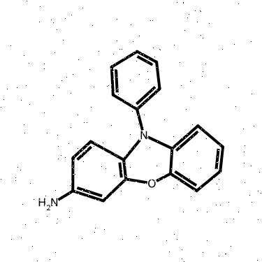 Nc1ccc2c(c1)Oc1ccccc1N2c1ccccc1